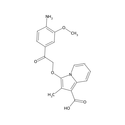 COc1cc(C(=O)COc2c(C)c(C(=O)O)c3cc[c]cn23)ccc1N